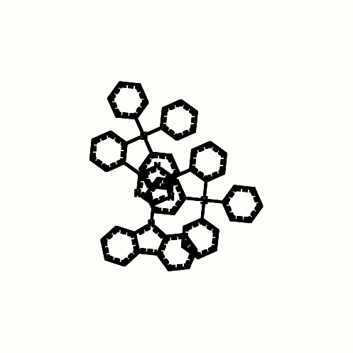 c1ccc([Si](c2ccccc2)(c2ccccc2)c2ccccc2-c2nc(-c3ccccc3[Si](c3ccccc3)(c3ccccc3)c3ccccc3)nc(-n3c4ccccc4c4ccccc43)n2)cc1